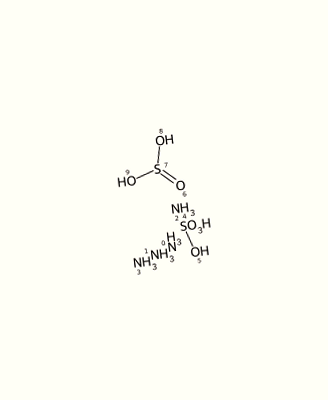 N.N.N.N.O=S(=O)(O)O.O=S(O)O